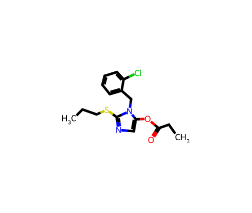 CCCSc1ncc(OC(=O)CC)n1Cc1ccccc1Cl